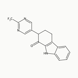 O=C1c2[nH]c3ccccc3c2CCC1c1cnc(C(F)(F)F)nc1